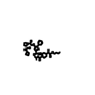 CCCCOC(=O)NC1CCN(C(=O)[C@@H](NC(=O)c2cc(OCC(=O)N3CCC[C@H]3C(=O)NC3CCC3)n(-c3ccccc3)n2)C(C)C)CC1